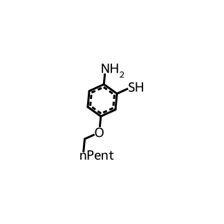 CCCCCCOc1ccc(N)c(S)c1